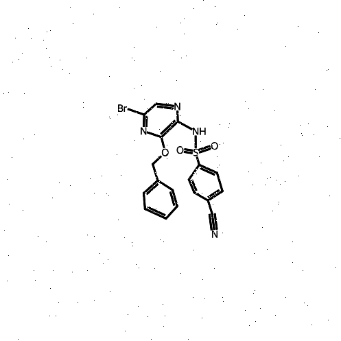 N#Cc1ccc(S(=O)(=O)Nc2ncc(Br)nc2OCc2ccccc2)cc1